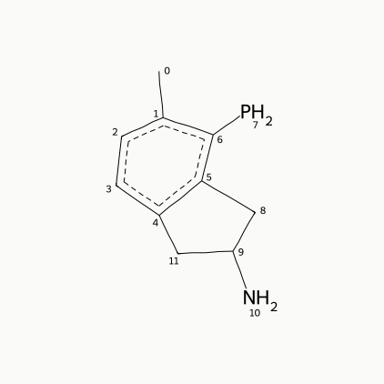 Cc1ccc2c(c1P)CC(N)C2